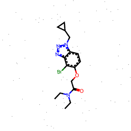 CCN(CC)C(=O)COc1ccc2c(nnn2CC2CC2)c1Br